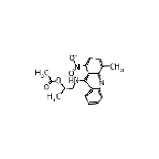 CC(=O)OC(C)CNc1c2ccccc2nc2c(C)ccc([N+](=O)[O-])c12